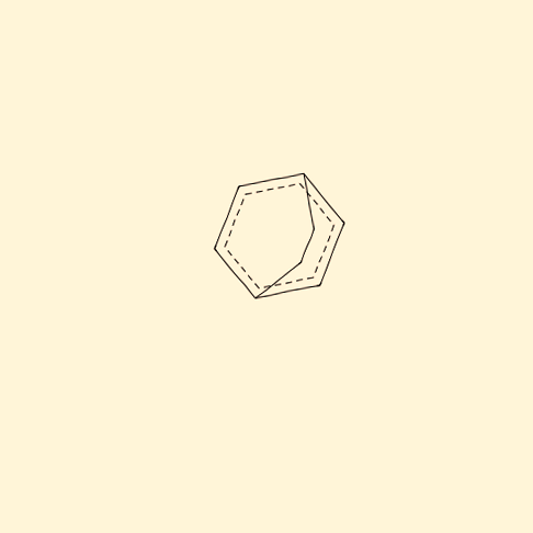 c1cc2ccc1CC2